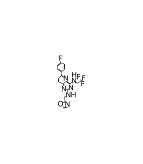 Fc1ccc(-c2ccc3nc(NCc4ncco4)nc(NCC(F)(F)F)c3n2)cc1